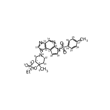 CCS(=O)(=O)OC1(C)CCN(n2cnc3cnc4c(ccn4S(=O)(=O)c4ccc(C)cc4)c32)CC1